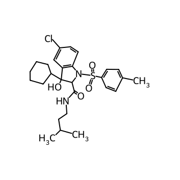 Cc1ccc(S(=O)(=O)N2c3ccc(Cl)cc3C(O)(C3CCCCC3)C2C(=O)NCCC(C)C)cc1